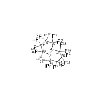 CC(C)C1(F)C2C(C(F)(F)C(F)(F)C(F)(F)C2(F)F)C(F)(F)C(F)(F)C1(F)F